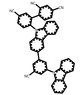 N#Cc1cc(-c2ccc3c(c2)c2ccccc2n3-c2ccc(C#N)cc2-c2ccc(C#N)cc2C#N)cc(-n2c3ccccc3c3ccccc32)c1